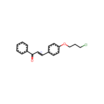 O=C(/C=C/c1ccc(OCCCCl)cc1)c1ccccc1